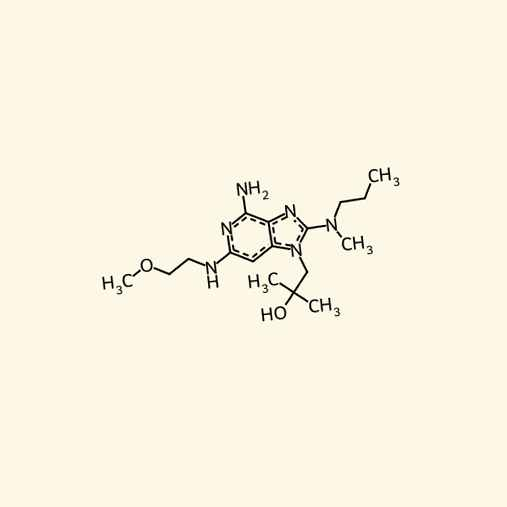 CCCN(C)c1nc2c(N)nc(NCCOC)cc2n1CC(C)(C)O